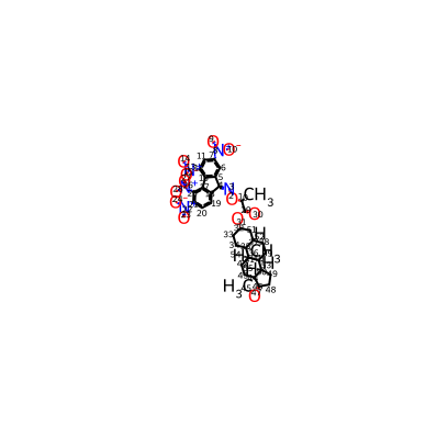 CC(ON=C1c2cc([N+](=O)[O-])cc([N+](=O)[O-])c2-c2c1ccc([N+](=O)[O-])c2[N+](=O)[O-])C(=O)O[C@H]1CC[C@@]2(C)[C@@H](CC[C@@H]3[C@@H]2CC[C@]2(C)C(=O)CC[C@@H]32)C1